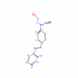 CCCN(CCO)c1ccc(/C=C/c2ccncn2)cc1